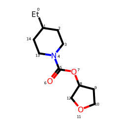 CCC1CCN(C(=O)OC2CCOC2)CC1